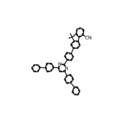 CC1(C)c2cc(-c3ccc(-c4nc(-c5ccc(-c6ccccc6)cc5)cc(-c5ccc(-c6ccccc6)cc5)n4)cc3)ccc2-c2c(C#N)cccc21